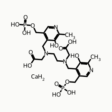 Cc1ncc(COP(=O)(O)O)c(CN(CCN(CC(=O)O)Cc2c(COP(=O)(O)O)cnc(C)c2O)CC(=O)O)c1O.[CaH2]